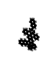 c1ccc(-c2nc(-c3ccc4ccccc4c3)nc(-c3ccccc3-c3ccc4ccc5c(c4c3)-c3cc4ccccc4cc3C53C4CCC5CCC(C4)CC53)n2)cc1